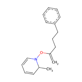 C=C(CCCc1ccccc1)ON1C=CC=CC1C